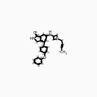 CC#CCN1CC(Nc2cc3c(c(-c4ccc(Oc5ccccc5)cc4)c2)CNC3=O)C1